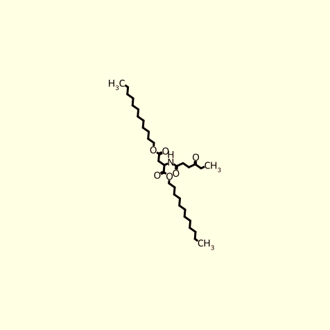 CCCCCCCCCCCCOC(=O)CC(NC(=O)CCC(=O)CC)C(=O)OCCCCCCCCCCCC